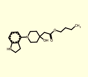 CCCCOC(=O)CC1(O)CCN(c2cccc3c2CCN3)CC1